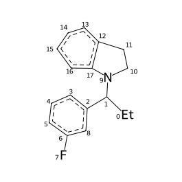 CCC(c1cccc(F)c1)N1CCc2ccccc21